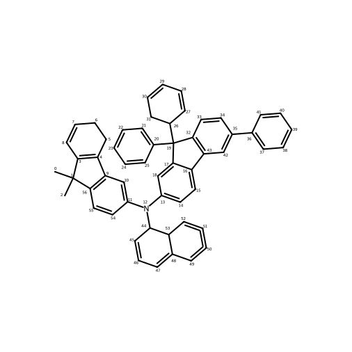 CC1(C)C2=C(CCC=C2)c2cc(N(c3ccc4c(c3)C(c3ccccc3)(C3C=CC=CC3)c3ccc(-c5ccccc5)cc3-4)C3C=CC=C4C=C=C=CC43)ccc21